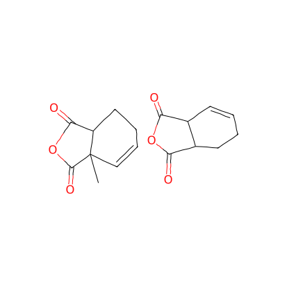 CC12C=CCCC1C(=O)OC2=O.O=C1OC(=O)C2CCC=CC12